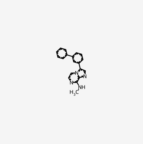 CNc1nccn2c(-c3cccc(-c4ccccc4)c3)cnc12